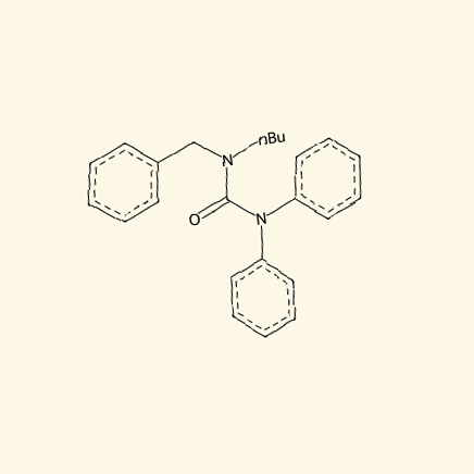 CCCCN(Cc1ccccc1)C(=O)N(c1ccccc1)c1ccccc1